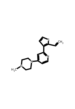 C=Cc1sccc1-c1cc(N2CCN(C)CC2)ccn1